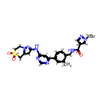 Cc1cc(-c2cc(Nc3cc4n(n3)CCS(=O)(=O)C4)ncn2)ccc1CNC(=O)c1cnn(C(C)(C)C)c1